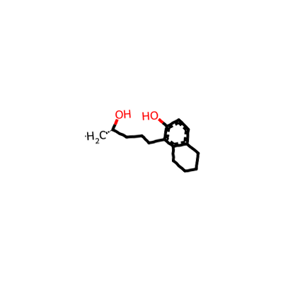 [CH2][C@H](O)CCCc1c(O)ccc2c1CCCC2